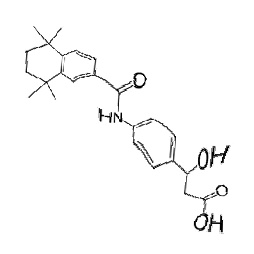 CC1(C)CCC(C)(C)c2cc(C(=O)Nc3ccc(C(O)CC(=O)O)cc3)ccc21